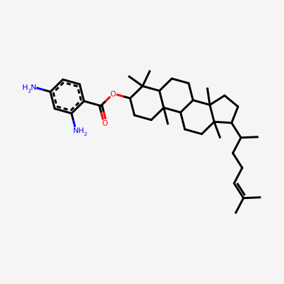 CC(C)=CCCC(C)C1CCC2(C)C3CCC4C(C)(C)C(OC(=O)c5ccc(N)cc5N)CCC4(C)C3CCC12C